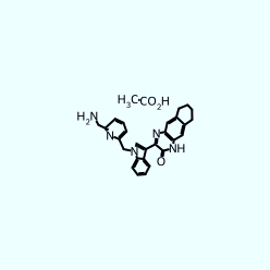 CC(=O)O.NCc1cccc(Cn2cc(-c3nc4cc5c(cc4[nH]c3=O)CCCC5)c3ccccc32)n1